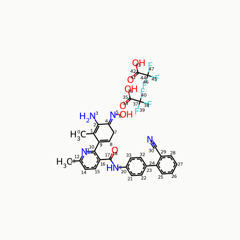 CC1=C(N)C(=NO)CC=C1c1nc(C)ccc1C(=O)Nc1ccc(-c2ccccc2C#N)cc1.O=C(O)C(F)(F)F.O=C(O)C(F)(F)F